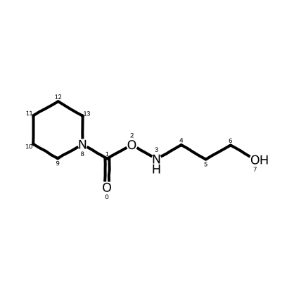 O=C(ONCCCO)N1CCCCC1